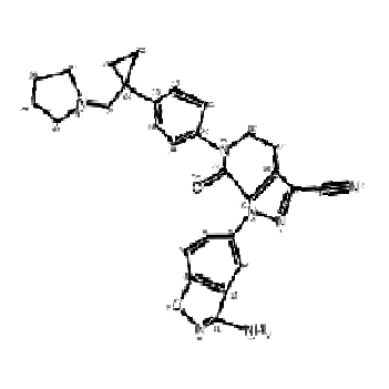 N#Cc1nn(-c2ccc3onc(N)c3c2)c2c1CCN(c1ccc(C3(CN4CCCC4)CC3)cc1)C2=O